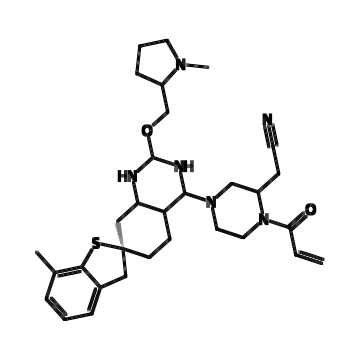 C=CC(=O)N1CCN(C2NC(OCC3CCCN3C)NC3C[C@]4(CCC32)Cc2cccc(C)c2S4)CC1CC#N